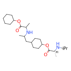 CC(C)N[C@H](C)C(=O)OC1CCC(CC(C)NC(C)C(=O)OC2CCCCC2)CC1